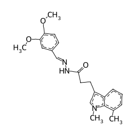 COc1ccc(C=NNC(=O)CCc2cn(C)c3c(C)cccc23)cc1OC